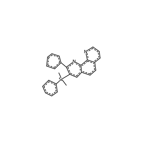 C[Si](C)(c1ccccc1)c1cc2ccc3cccnc3c2nc1-c1ccccc1